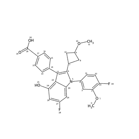 COc1cc(-n2c(C3CC(OC)C3)c(-c3ccc(C(=O)O)cc3)c3c(O)cc(F)cc32)ccc1F